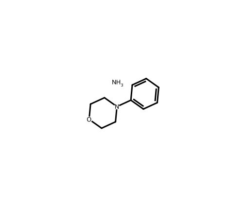 N.c1ccc(N2CCOCC2)cc1